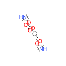 CC1(C)CC(OC(=O)CCC2CCC(C3OCC(C(=O)OC4CC(C)(C)NC(C)(C)C4)CO3)CC2)CC(C)(C)N1